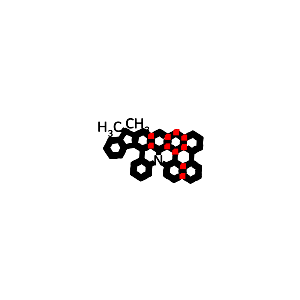 CC1(C)c2ccccc2-c2c(-c3ccccc3N(c3ccccc3-c3cccc4cccc(-c5ccccc5)c34)c3cccc4ccccc34)cccc21